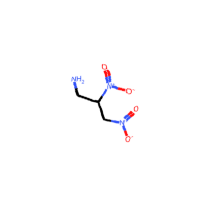 NCC(C[N+](=O)[O-])[N+](=O)[O-]